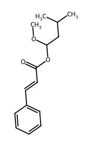 COC(CC(C)C)OC(=O)/C=C/c1ccccc1